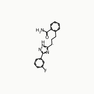 NC(=O)c1ccccc1CC[CH]c1nc(-c2cccc(F)c2)n[nH]1